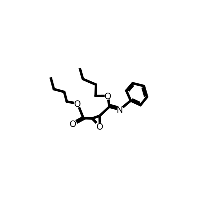 CCCCOC(=O)C1OC1C(=Nc1ccccc1)OCCCC